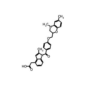 Cc1ccc2c(c1)N(C)CC(COc1ccc(C(=O)n3c(C)cc4c(CC(=O)O)cccc43)cc1)O2